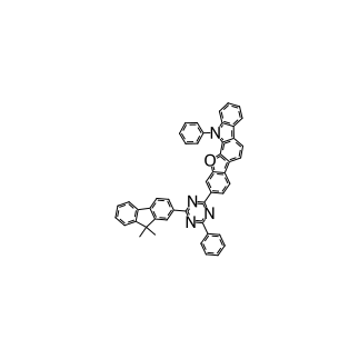 CC1(C)c2ccccc2-c2ccc(-c3nc(-c4ccccc4)nc(-c4ccc5c(c4)oc4c5ccc5c6ccccc6n(-c6ccccc6)c54)n3)cc21